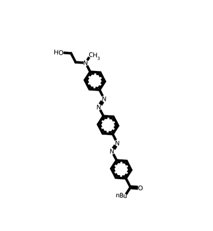 CCCCC(=O)c1ccc(N=Nc2ccc(N=Nc3ccc(N(C)CCO)cc3)cc2)cc1